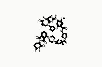 COc1cc(C(=O)N[C@H]2CCN(C(=O)C(C)(C)CC(C)(C)N3CCN(c4cccc5c4C(=O)N(C4CCC(=O)NC4=O)C5=O)CC3)C2)c(F)cc1Nc1ncc2c(n1)N(C1CCCC1)CC(F)(F)C(=O)N2C